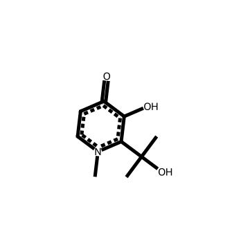 Cn1ccc(=O)c(O)c1C(C)(C)O